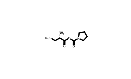 N[C@@H](CC(=O)O)C(=O)OC(=O)N1CCCC1